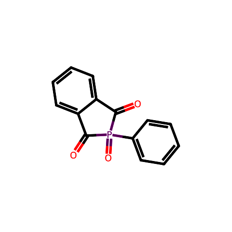 O=C1c2ccccc2C(=O)P1(=O)c1ccccc1